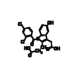 CC(=O)O.Cc1c(CC(=O)O)c2cc(O)ccc2n1C(=O)c1ccc(Cl)cc1Cl